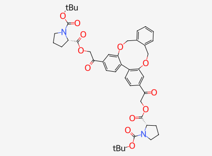 CC(C)(C)OC(=O)N1CCC[C@H]1C(=O)OCC(=O)c1ccc2c(c1)OCc1ccccc1COc1cc(C(=O)COC(=O)[C@@H]3CCCN3C(=O)OC(C)(C)C)ccc1-2